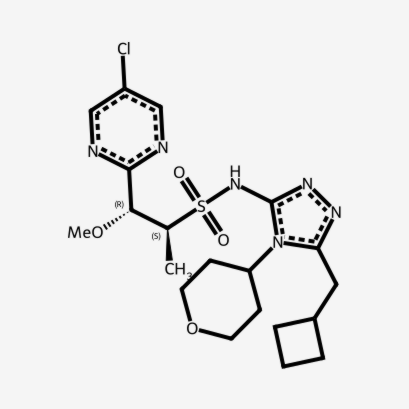 CO[C@H](c1ncc(Cl)cn1)[C@H](C)S(=O)(=O)Nc1nnc(CC2CCC2)n1C1CCOCC1